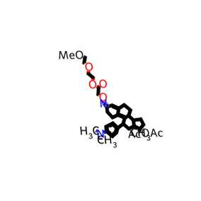 COCCOCCOC(=O)CO/N=C1\C=C2CCC3C(=C2CC1)C(c1ccc(N(C)C)cc1)CC1(C)C3CCC1(OC(C)=O)C(C)=O